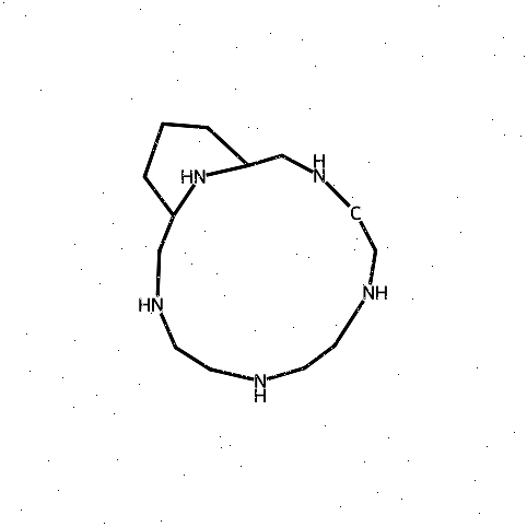 C1CC2CNCCNCCNCCNCC(C1)N2